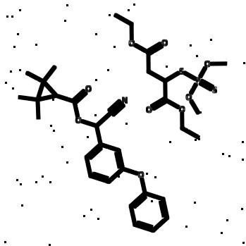 CC1(C)C(C(=O)OC(C#N)c2cccc(Oc3ccccc3)c2)C1(C)C.CCOC(=O)CC(SP(=S)(OC)OC)C(=O)OCC